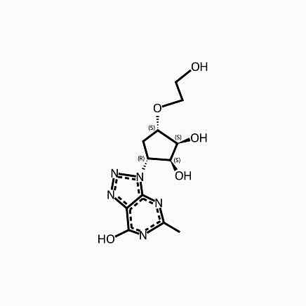 Cc1nc(O)c2nnn([C@@H]3C[C@H](OCCO)[C@@H](O)[C@H]3O)c2n1